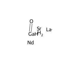 [La].[Nd].[O]=[GaH].[SrH2]